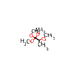 COC(C)C(OC)(OC)[O][AlH2]